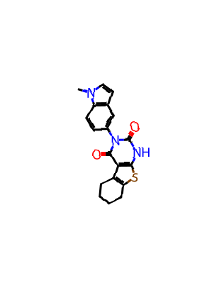 Cn1ccc2cc(-n3c(=O)[nH]c4sc5c(c4c3=O)CCCC5)ccc21